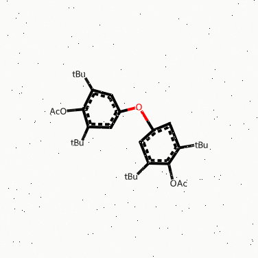 CC(=O)Oc1c(C(C)(C)C)cc(Oc2cc(C(C)(C)C)c(OC(C)=O)c(C(C)(C)C)c2)cc1C(C)(C)C